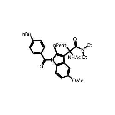 CCCCCC(NC(C)=O)(C(=O)N(CC)CC)c1c(C)n(C(=O)c2ccc(CCCC)cc2)c2ccc(OC)cc12